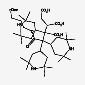 CCCCCCCCCCCCCOC(=O)C(C1CC(C)(C)NC(C)(C)C1)(C1CC(C)(C)NC(C)(C)C1)C(C(=O)O)(C1CC(C)(C)NC(C)(C)C1)C(CC(=O)O)C(=O)O